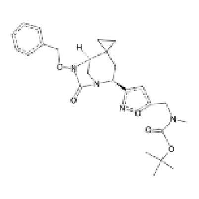 CN(Cc1cc([C@@H]2CC3(CC3)[C@H]3CN2C(=O)N3OCc2ccccc2)no1)C(=O)OC(C)(C)C